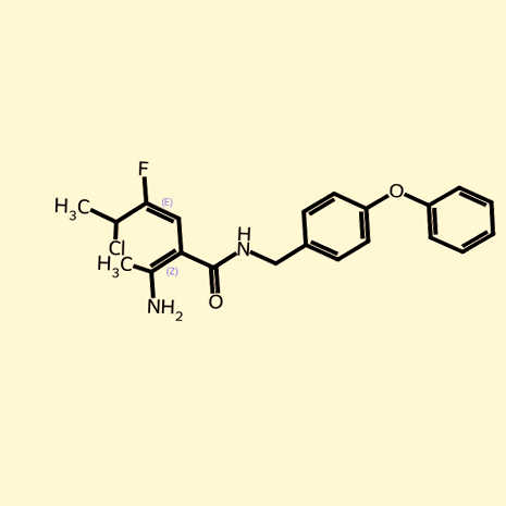 C/C(N)=C(\C=C(\F)C(C)Cl)C(=O)NCc1ccc(Oc2ccccc2)cc1